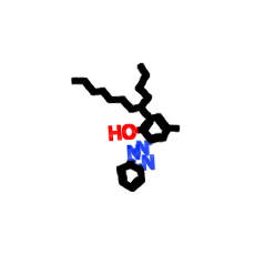 CCCCCCCC(CCCC)c1cc(C)cc(-n2nc3ccccc3n2)c1O